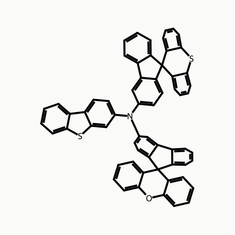 c1ccc2c(c1)Oc1ccccc1C21c2ccccc2-c2cc(N(c3ccc4c(c3)-c3ccccc3C43c4ccccc4Sc4ccccc43)c3ccc4c(c3)sc3ccccc34)ccc21